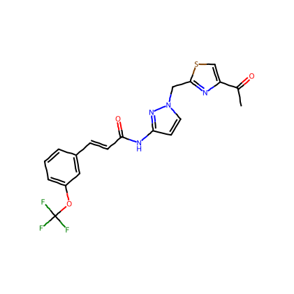 CC(=O)c1csc(Cn2ccc(NC(=O)/C=C/c3cccc(OC(F)(F)F)c3)n2)n1